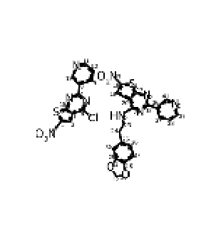 O=[N+]([O-])c1cc2c(Cl)nc(-c3cccnc3)nc2s1.O=[N+]([O-])c1cc2c(NCCc3ccc4c(c3)OCO4)nc(-c3cccnc3)nc2s1